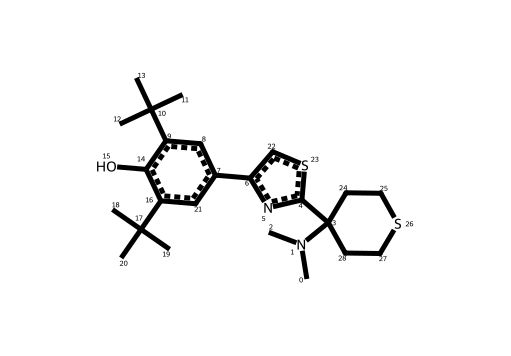 CN(C)C1(c2nc(-c3cc(C(C)(C)C)c(O)c(C(C)(C)C)c3)cs2)CCSCC1